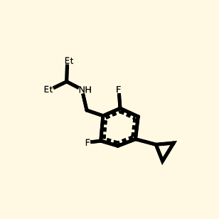 CCC(CC)NCc1c(F)cc(C2CC2)cc1F